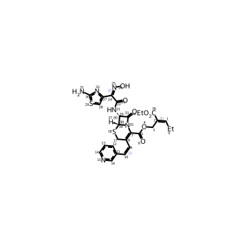 CC/C=C(\COC(=O)C1=C(/C=C\c2cccnc2)CS[C@@H]2[C@H](NC(=O)/C(=N\O)c3csc(N)n3)C(=O)N12)C(=O)OCC